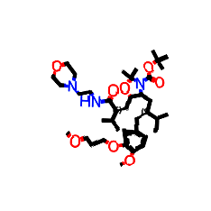 COCCCOc1cc(C[C@@H](CC2C(C[C@H](C(=O)NCCN3CCOCC3)C(C)C)OC(C)(C)N2C(=O)OC(C)(C)C)C(C)C)ccc1OC